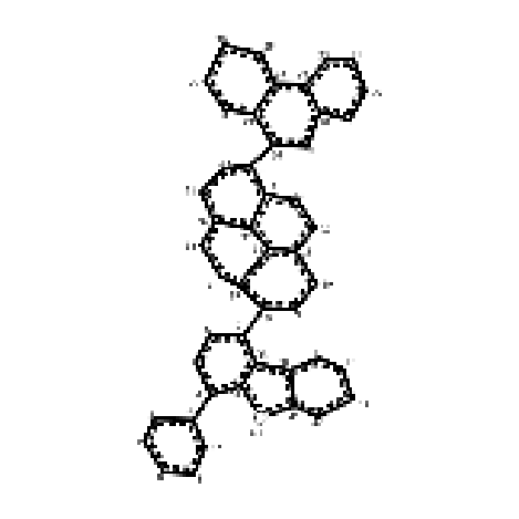 c1ccc(-c2ccc(-c3ccc4ccc5c(-c6cc7ccccc7c7ccccc67)ccc6ccc3c4c65)c3c2oc2ccccc23)cc1